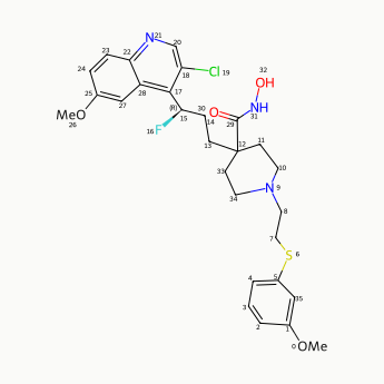 COc1cccc(SCCN2CCC(CC[C@@H](F)c3c(Cl)cnc4ccc(OC)cc34)(C(=O)NO)CC2)c1